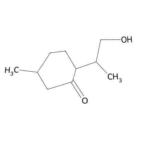 CC1CCC(C(C)CO)C(=O)C1